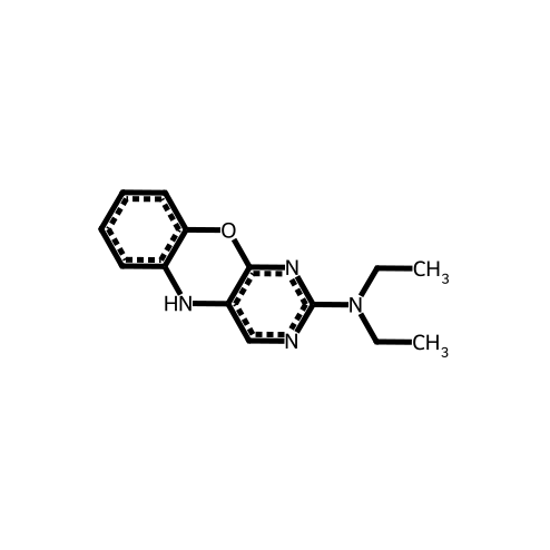 CCN(CC)c1ncc2c(n1)Oc1ccccc1N2